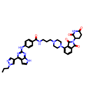 CCCn1cc(-c2nc(Nc3ccc(C(=O)NCCCN4CCN(c5cccc6c5C(=O)N(C5CCC(=O)NC5=O)C6=O)CC4)cc3)nc3[nH]ccc23)cn1